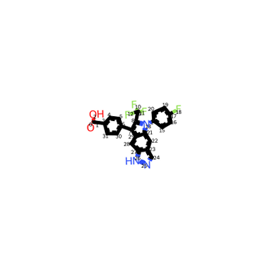 O=C(O)c1ccc(-c2c(C(F)(F)F)n(-c3ccc(F)cc3)c3cc4cn[nH]c4cc23)cc1